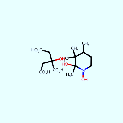 CC1CCN(O)C(C)(O)C1(C)C.O=C(O)CC(O)(CC(=O)O)C(=O)O